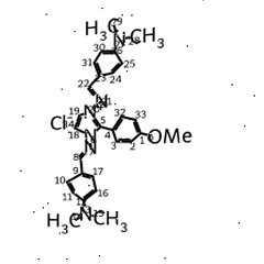 COc1ccc(-c2n(N=Cc3ccc(N(C)C)cc3)cc[n+]2N=Cc2ccc(N(C)C)cc2)cc1.[Cl-]